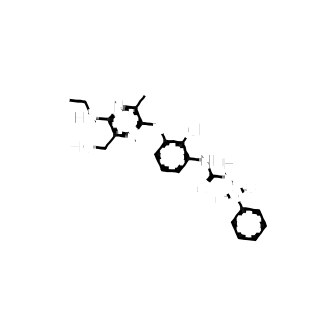 CCNc1nc(C)c(Sc2cccc(NC(=O)NS(=O)(=O)c3ccccc3)c2Cl)nc1CO